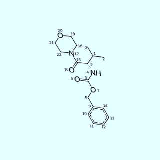 CC(C)[C@H](NC(=O)OCc1ccccc1)C(=O)N1CCOCC1